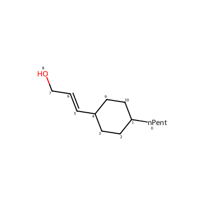 CCCCCC1CCC(/C=C/CO)CC1